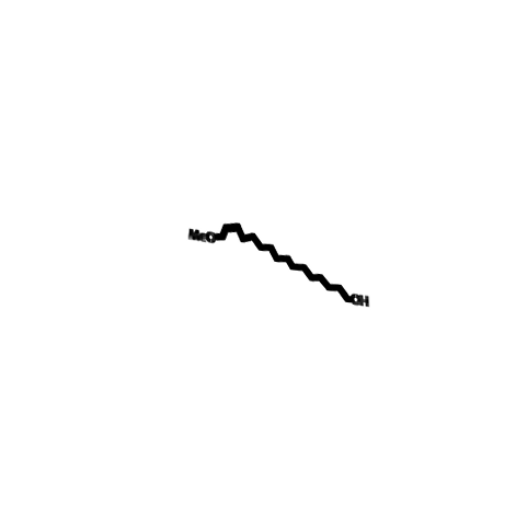 COC/C=C\CCCCCCCCCCCCCO